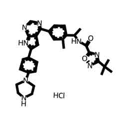 Cc1cc(-c2ncnc3[nH]c(-c4ccc(N5CCNCC5)cc4)cc23)ccc1C(C)NC(=O)c1nc(C(C)(C)C)no1.Cl